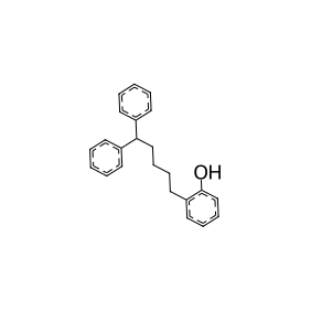 Oc1ccccc1CCCCC(c1ccccc1)c1ccccc1